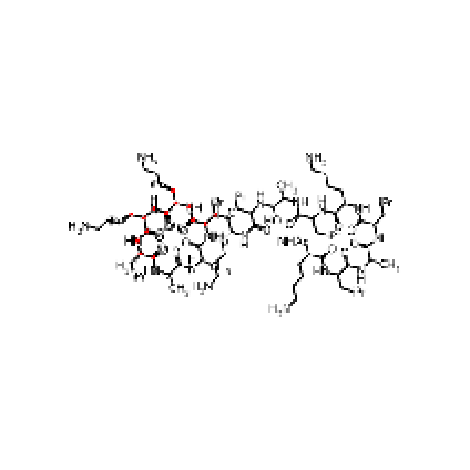 CC(=O)N[C@H](CCCCN)C(=O)NC(CC(C)C)C(=O)N[C@H](C)C(=O)NC(CC(C)C)C(=O)N[C@H](CCCCN)C(=O)NC(CC(C)C)C(=O)N[C@H](C)C(O)NC(CC(C)C)C(=O)N[C@H](CCCCN)C(=O)N[C@H](C)C(=O)N[C@H](CC(C)C)C(=O)N[C@H](CCCCN)C(=O)N[C@H](CC(C)C)C(=O)N[C@H](C)C(=O)N[C@H](C)C(=O)N[C@H](CC(C)C)C(=O)N[C@H](CCCCN)C(=O)NC(CC(C)C)C(=O)N[C@H](C)C(N)=O